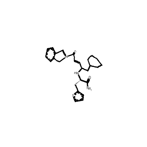 NC(=O)[C@H](Cc1cccs1)NC(C=CC(=O)N1Cc2ccccc2C1)CC1CCCCC1